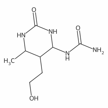 CC1NC(=O)NC(NC(N)=O)C1CCO